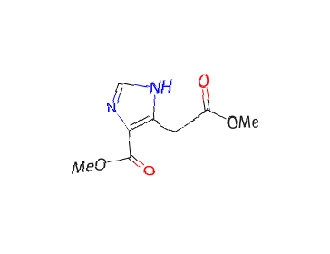 COC(=O)Cc1[nH]cnc1C(=O)OC